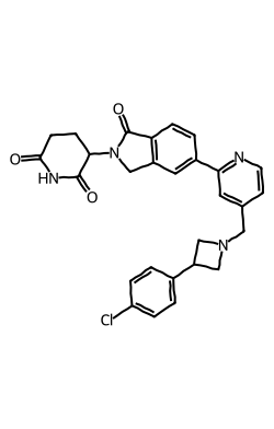 O=C1CCC(N2Cc3cc(-c4cc(CN5CC(c6ccc(Cl)cc6)C5)ccn4)ccc3C2=O)C(=O)N1